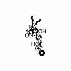 CCCCN(CCCC)c1nc2c(c(=O)n(C)c(=O)n2C)n1CC(O)CN1CCN(CC(O)C[S+]([O-])c2ccccc2)CC1